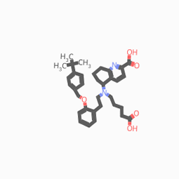 CC(C)(C)c1ccc(COc2ccccc2CCN(CCCCC(=O)O)C2CCCc3nc(C(=O)O)ccc32)cc1